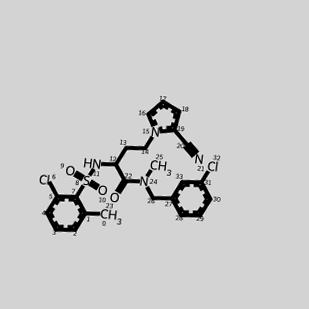 Cc1cccc(Cl)c1S(=O)(=O)NC(CCn1cccc1C#N)C(=O)N(C)Cc1cccc(Cl)c1